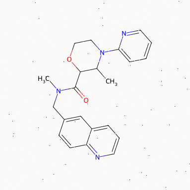 CC1C(C(=O)N(C)Cc2ccc3ncccc3c2)OCCN1c1ccccn1